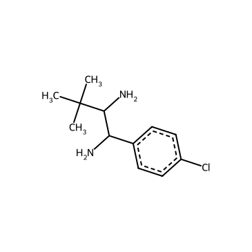 CC(C)(C)C(N)C(N)c1ccc(Cl)cc1